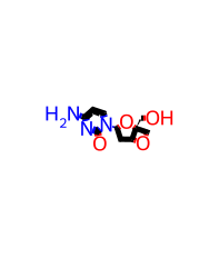 Nc1ccn([C@H]2CC3OC[C@]3(CO)O2)c(=O)n1